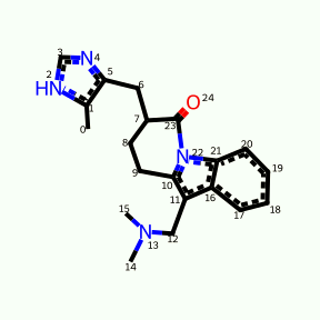 Cc1[nH]cnc1CC1CCc2c(CN(C)C)c3ccccc3n2C1=O